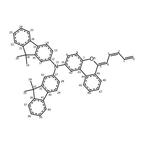 C=C/C=C\C=C1/Oc2ccc(N(c3ccc4c(c3)C(C)(C)c3ccccc3-4)c3ccc4c(c3)C(C)(C)c3ccccc3-4)cc2-c2ccccc21